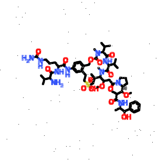 CCC(C)C(C(CC(=O)N1CCC[C@H]1C(OC)C(C)C(=O)NC(C)C(O)c1ccccc1)OC)N(C)C(=O)C(NC(=O)C(C(C)C)N(C)C(=O)OCc1ccc(NC(=O)C(CCCNC(N)=O)NC(=O)C(N)C(C)C)cc1CCS(=O)(=O)O)C(C)C